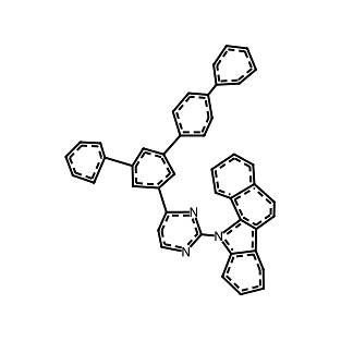 c1ccc(-c2ccc(-c3cc(-c4ccccc4)cc(-c4ccnc(-n5c6ccccc6c6ccc7ccccc7c65)n4)c3)cc2)cc1